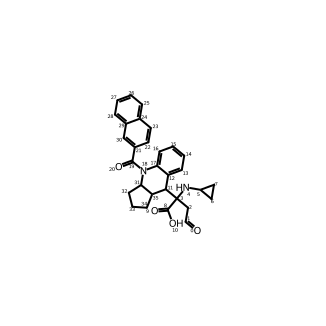 O=CCC(NC1CC1)(C(=O)O)C1c2ccccc2N(C(=O)c2ccc3ccccc3c2)C2CCCC21